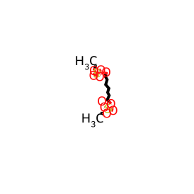 CCOS(=O)(=O)OC(=O)CCCCCC(=O)OS(=O)(=O)OCC